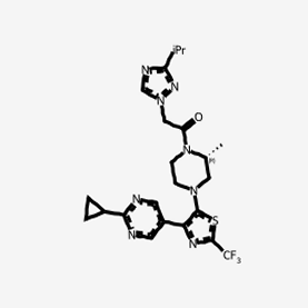 CC(C)c1ncn(CC(=O)N2CCN(c3sc(C(F)(F)F)nc3-c3cnc(C4CC4)nc3)C[C@H]2C)n1